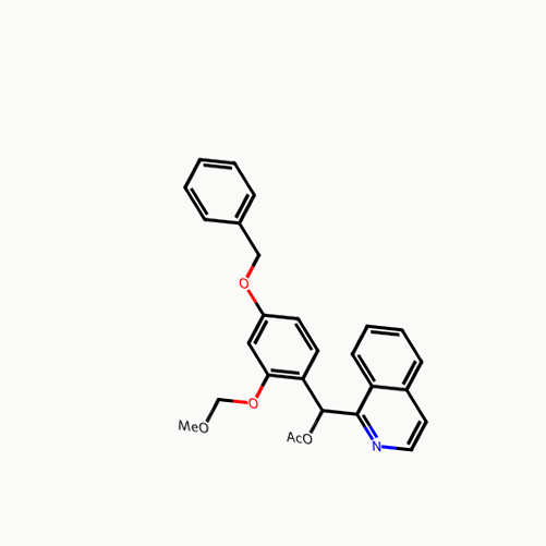 COCOc1cc(OCc2ccccc2)ccc1C(OC(C)=O)c1nccc2ccccc12